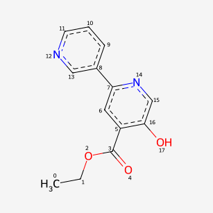 CCOC(=O)c1cc(-c2cccnc2)ncc1O